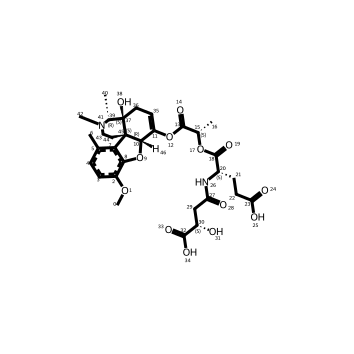 COc1ccc(C)c2c1O[C@H]1C(OC(=O)[C@H](C)OC(=O)[C@H](CCC(=O)O)NC(=O)C[C@H](O)C(=O)O)=CC[C@@]3(O)[C@@H](C)N(C)CC[C@]213